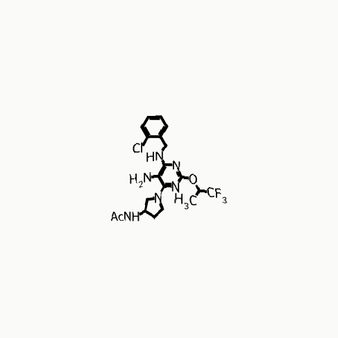 CC(=O)NC1CCN(c2nc(OC(C)C(F)(F)F)nc(NCc3ccccc3Cl)c2N)C1